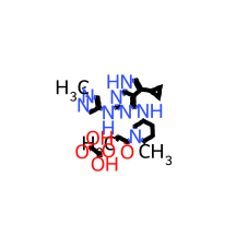 C=CC(=O)N1C[C@H](Nc2nc(Nc3cnn(C)c3)nc3[nH]cc(C4CC4)c23)CC[C@@H]1C.O=C(O)C(=O)O